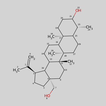 C=C(C)[C@@H]1CC[C@]2(CO)CC[C@]3(C)C(CCC4[C@@]5(C)CCC(O)[C@H](C)C5CC[C@]43C)C12